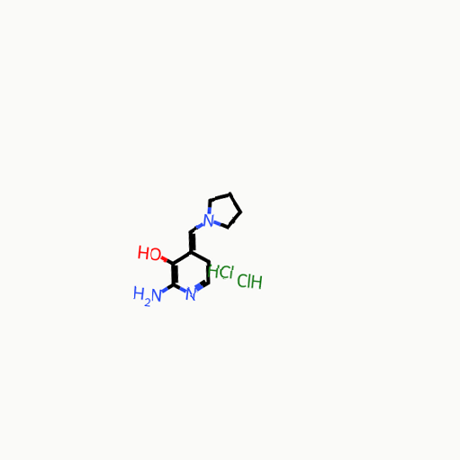 Cl.Cl.NC1=C(O)C(=CN2CCCC2)CC=N1